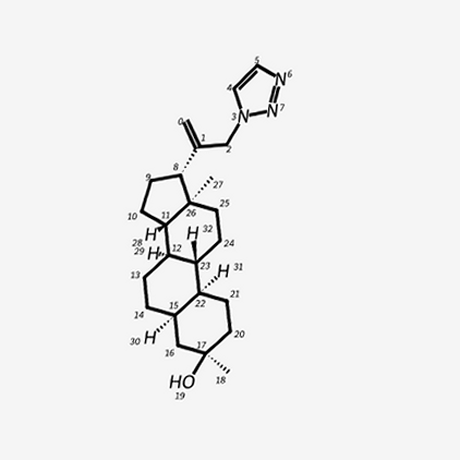 C=C(Cn1ccnn1)[C@H]1CC[C@H]2[C@@H]3CC[C@@H]4C[C@](C)(O)CC[C@@H]4[C@H]3CC[C@]12C